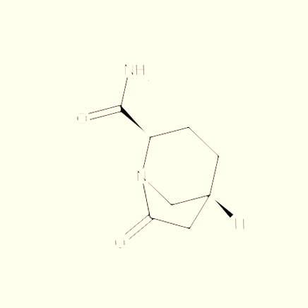 NC(=O)[C@H]1CC[C@@H]2CC(=O)N1C2